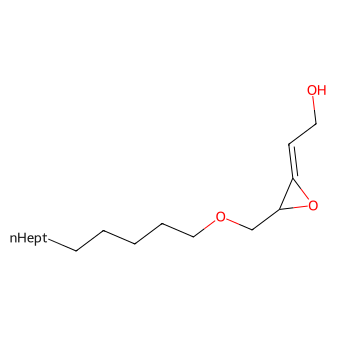 CCCCCCCCCCCCOCC1OC1=CCO